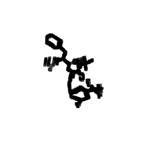 CC(C)(C)OC(=O)N(Cc1cc(F)cc(C(F)(F)F)c1)C[C@@H](O)C(N)Cc1ccccc1